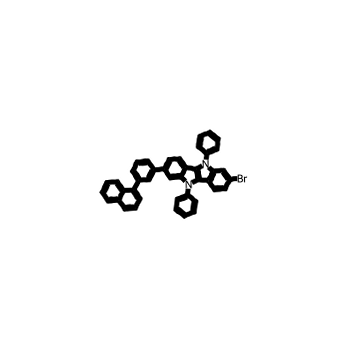 Brc1ccc2c(c1)n(-c1ccccc1)c1c3ccc(-c4cccc(-c5cccc6ccccc56)c4)cc3n(-c3ccccc3)c21